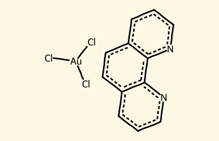 [Cl][Au]([Cl])[Cl].c1cnc2c(c1)ccc1cccnc12